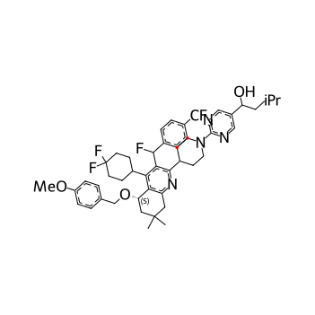 COc1ccc(CO[C@H]2CC(C)(C)Cc3nc(C4CCN(c5ncc(C(O)CC(C)C)cn5)CC4)c(C(F)c4ccc(C(F)(F)F)cc4)c(C4CCC(F)(F)CC4)c32)cc1